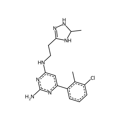 Cc1c(Cl)cccc1-c1cc(NCCC2=NNC(C)N2)nc(N)n1